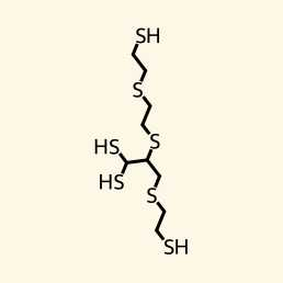 SCCSCCSC(CSCCS)C(S)S